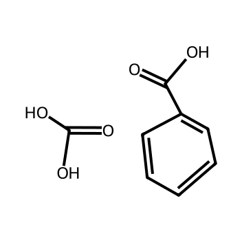 O=C(O)O.O=C(O)c1ccccc1